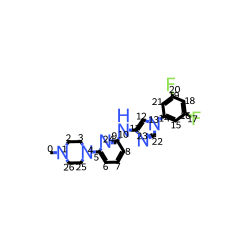 CN1CCN(c2cccc(Nc3cn(-c4cc(F)cc(F)c4)cn3)n2)CC1